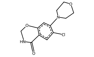 O=C1NCOc2cc(N3CCOCC3)c(Cl)cc21